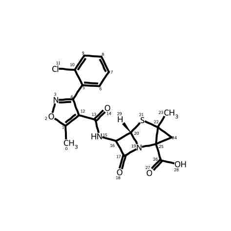 Cc1onc(-c2ccccc2Cl)c1C(=O)NC1C(=O)N2[C@H]1SC1(C)CC21C(=O)O